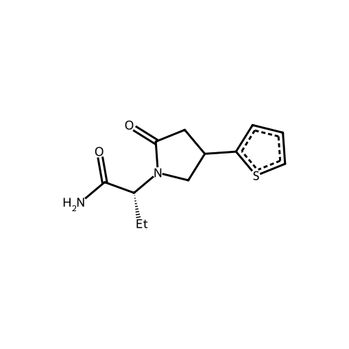 CC[C@H](C(N)=O)N1CC(c2cccs2)CC1=O